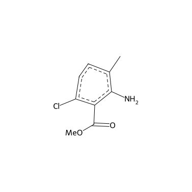 COC(=O)c1c(Cl)ccc(C)c1N